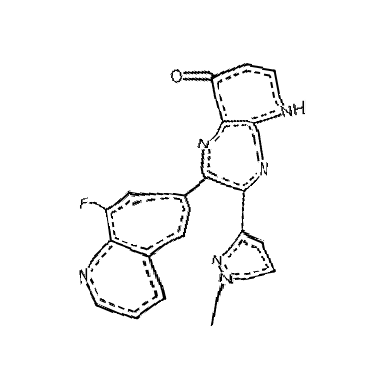 Cn1ccc(-c2nc3[nH]ccc(=O)c3nc2-c2cc(F)c3ncccc3c2)n1